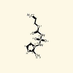 C=CCOC(=O)NS(=O)(=O)Nn1ccnc1C